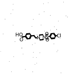 O=C(O)c1ccc(CCN2CCN(S(=O)(=O)c3ccc(Cl)cc3)CC2)cc1